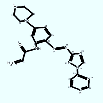 C=CC(=O)Nc1cc(N2CCOCC2)ccc1N=Nc1ncn(-c2ccncn2)n1